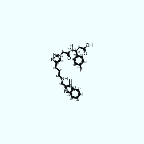 O=C(O)C[C@H](NC(=O)Cn1cc(CCCNCc2nc3ccccc3[nH]2)nn1)c1ccc(F)cc1